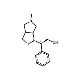 CN1CC2CON([C@@H](CO)c3ccccc3)C2C1